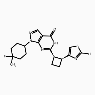 CC1(F)CCC(n2ncc3c(=O)[nH]c([C@@H]4CC[C@@H]4c4csc(Cl)n4)nc32)CC1